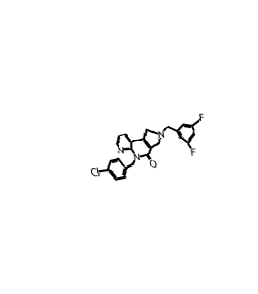 O=c1c2c(c3cccnc3n1Cc1ccc(Cl)cc1)CN(Cc1cc(F)cc(F)c1)C2